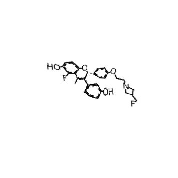 CC1=C(c2cccc(O)c2)[C@@H](c2ccc(OCCN3CC(CF)C3)cc2)Oc2ccc(O)c(F)c21